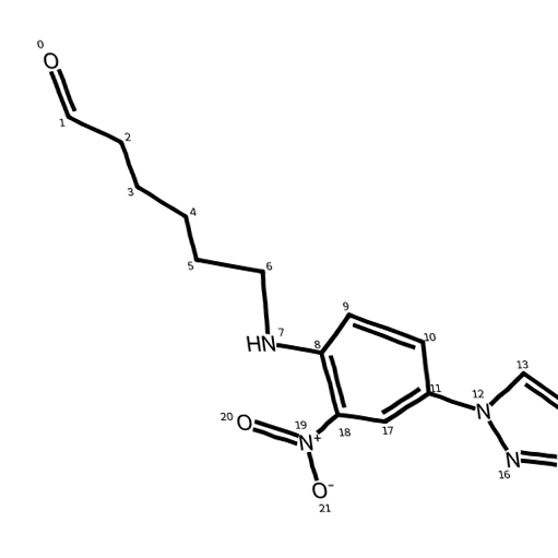 O=CCCCCCNc1ccc(-n2ccnn2)cc1[N+](=O)[O-]